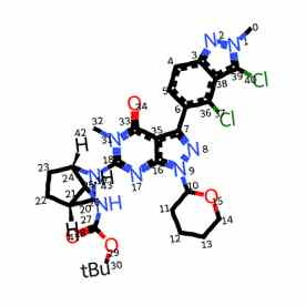 Cn1nc2ccc(-c3nn(C4CCCCO4)c4nc(N5C[C@@H]6CC[C@H]5[C@H]6NC(=O)OC(C)(C)C)n(C)c(=O)c34)c(Cl)c2c1Cl